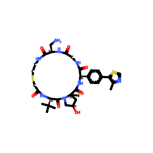 Cc1ncsc1-c1ccc([C@H]2NC(=O)[C@@H]3C[C@@H](O)CN3C(=O)[C@H](C(C)(C)C)NC(=O)CSCCNC(=O)[C@@H](CN)NC(=O)CNC2=O)cc1